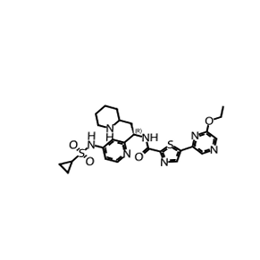 CCOc1cncc(-c2cnc(C(=O)N[C@H](CC3CCCCN3)c3cc(NS(=O)(=O)C4CC4)ccn3)s2)n1